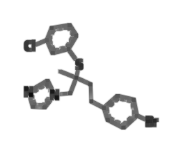 CC(CCc1ccc(Br)cc1)(Cn1ccnc1)Sc1cccc(Cl)c1